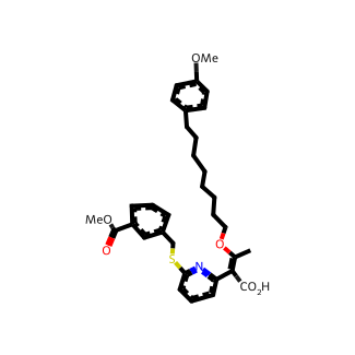 COC(=O)c1cccc(CSc2cccc(C(C(=O)O)=C(C)OCCCCCCCCc3ccc(OC)cc3)n2)c1